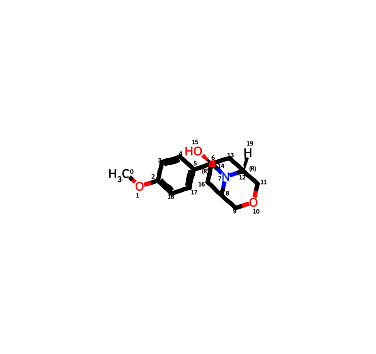 COc1ccc(CN2C3COC[C@H]2C[C@H](O)C3)cc1